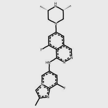 Cc1cn2cc(Nc3nncc4cc(N5C[C@@H](C)N[C@@H](C)C5)cc(F)c34)cc(F)c2n1